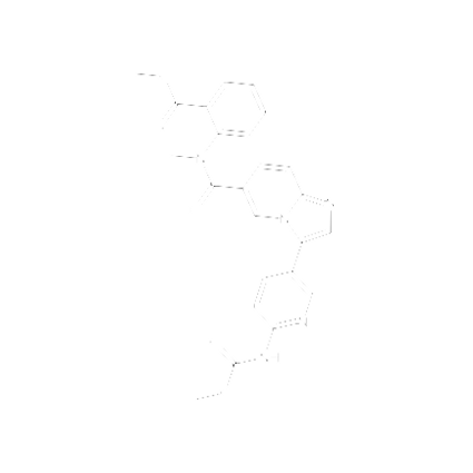 COC(=O)Nc1ccc(-c2cnc3ccc(C(=O)N(C)c4ccccc4C(=O)OC)cn23)cn1